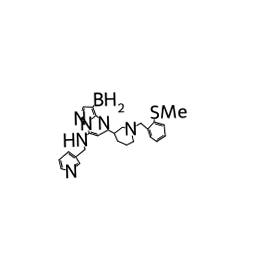 Bc1cnn2c(NCc3cccnc3)cc(C3CCCN(Cc4ccccc4SC)C3)nc12